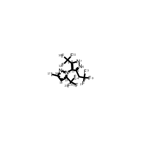 FC(F)(F)CC1=N[N]C(C(F)(F)F)=C1n1nc(I)cc1C(F)(F)F